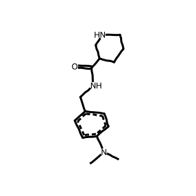 CN(C)c1ccc(CNC(=O)C2CCCNC2)cc1